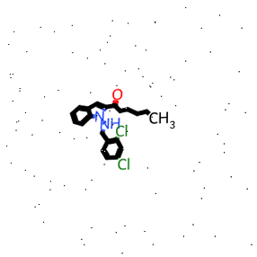 CCCCCC(=O)c1cc2ccccc2n1NCc1ccc(Cl)cc1Cl